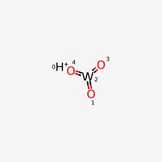 [H+].[O]=[W](=[O])=[O]